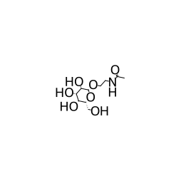 CC(=O)NCCO[C@H]1O[C@H](CO)[C@@H](O)[C@H](O)[C@@H]1O